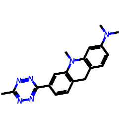 Cc1nnc(-c2ccc3c(c2)N(C)c2cc(N(C)C)ccc2C3)nn1